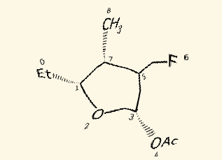 CC[C@H]1O[C@@H](OC(C)=O)C(F)[C@H]1C